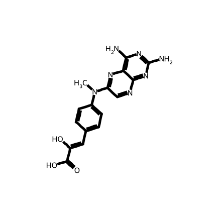 CN(c1ccc(/C=C(\O)C(=O)O)cc1)c1cnc2nc(N)nc(N)c2n1